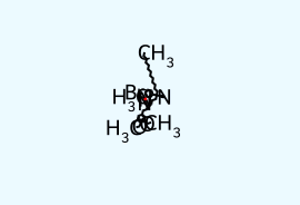 CCCCCCCCCCCCCC(C#N)(CCCC(CCc1ccc(OC)c(OC)c1)N=NC)c1ccc(Br)cc1